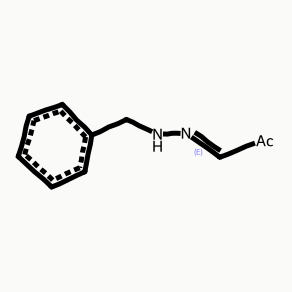 CC(=O)/C=N/NCc1ccccc1